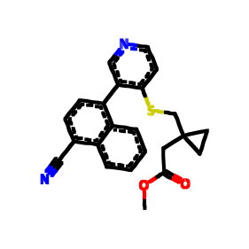 COC(=O)CC1(CSc2ccncc2-c2ccc(C#N)c3ccccc23)CC1